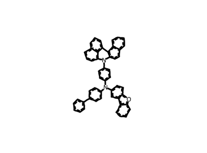 c1ccc(-c2ccc(N(c3ccc(N4c5ccc6ccccc6c5-c5cccc6cccc4c56)cc3)c3ccc4oc5ccccc5c4c3)cc2)cc1